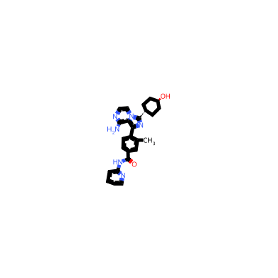 Cc1cc(C(=O)Nc2ccccn2)ccc1-c1nc([C@H]2CC[C@H](O)CC2)n2ccnc(N)c12